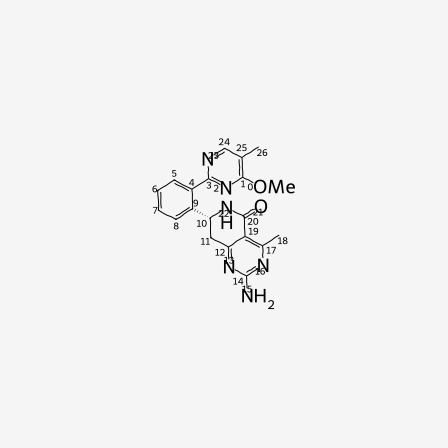 COc1nc(-c2ccccc2[C@H]2Cc3nc(N)nc(C)c3C(=O)N2)ncc1C